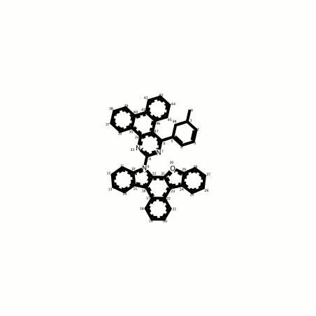 CC1C=CC=C(c2nc(-n3c4ccccc4c4c5ccccc5c5c6ccccc6oc5c43)nc3c4ccccc4c4ccccc4c23)C1